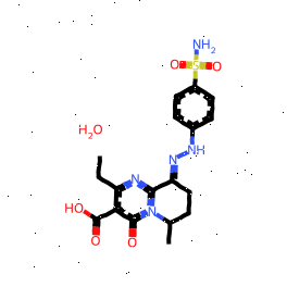 CCc1nc2n(c(=O)c1C(=O)O)C(C)CCC2=NNc1ccc(S(N)(=O)=O)cc1.O